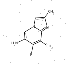 Cc1cn2cc(N)c(F)c(C)c2n1